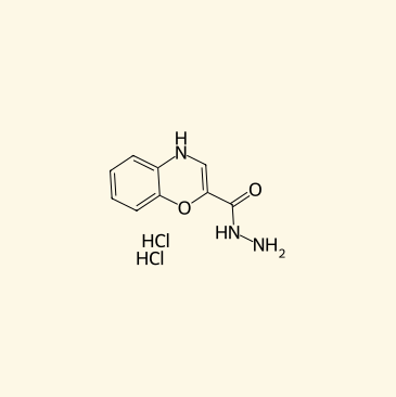 Cl.Cl.NNC(=O)C1=CNc2ccccc2O1